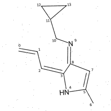 C=C/C=C1/NC(C)=C/C1=N/CC1CC1